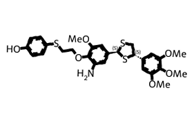 COc1cc([C@H]2SC[C@H](c3cc(OC)c(OC)c(OC)c3)S2)cc(N)c1OCCSc1ccc(O)cc1